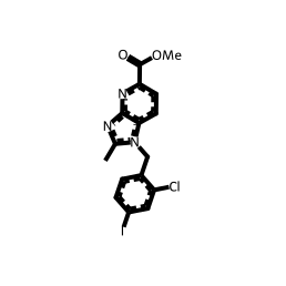 COC(=O)c1ccc2c(n1)nc(C)n2Cc1ccc(I)cc1Cl